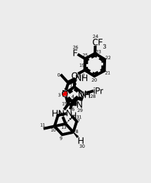 CC(=N)OC(=N)N1C[C@@H]2CC(C)(C1)[C@H]2Nc1nc(Oc2cccc(C(F)(F)F)c2F)n(C(C)C)n1